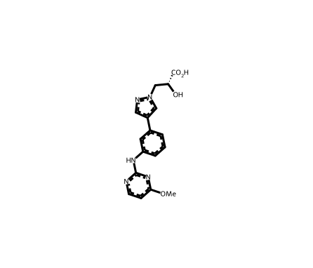 COc1ccnc(Nc2cccc(-c3cnn(C[C@@H](O)C(=O)O)c3)c2)n1